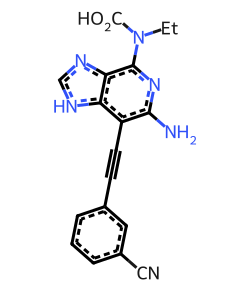 CCN(C(=O)O)c1nc(N)c(C#Cc2cccc(C#N)c2)c2[nH]cnc12